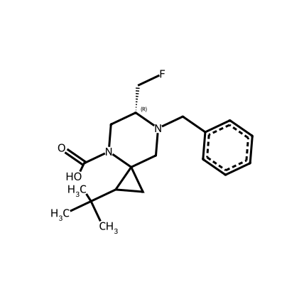 CC(C)(C)C1CC12CN(Cc1ccccc1)[C@@H](CF)CN2C(=O)O